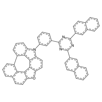 c1cc(-c2nc(-c3ccc4ccccc4c3)nc(-c3ccc4ccccc4c3)n2)cc(-n2c3cccc4c3c3c5c(ccc32)oc2ccc3cccc-4c3c25)c1